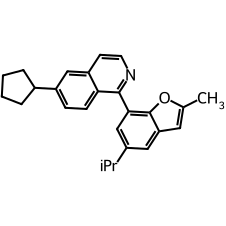 Cc1cc2cc(C(C)C)cc(-c3nccc4cc(C5CCCC5)ccc34)c2o1